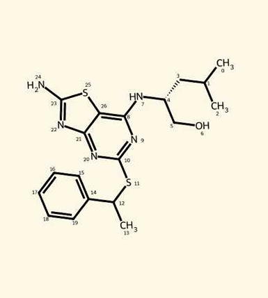 CC(C)C[C@H](CO)Nc1nc(SC(C)c2ccccc2)nc2nc(N)sc12